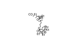 CCOC(=O)C(C)NP(=O)(OCC)C(C)(C)CCCOP(=O)(OCC)C(CC(C)(C)C)P(=O)(OCC)OCC